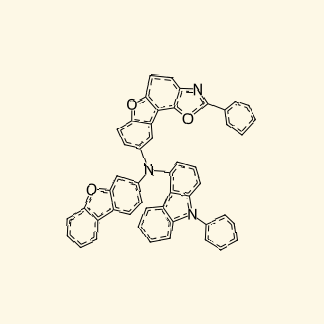 c1ccc(-c2nc3ccc4oc5ccc(N(c6ccc7c(c6)oc6ccccc67)c6cccc7c6c6ccccc6n7-c6ccccc6)cc5c4c3o2)cc1